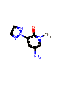 Cn1cc(N)cc(-n2nccn2)c1=O